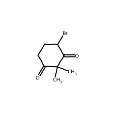 CC1(C)C(=O)CCC(Br)C1=O